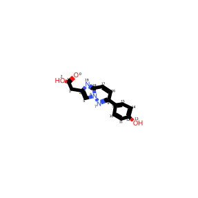 O=C(O)Cc1cn2nc(-c3ccc(O)cc3)ccc2n1